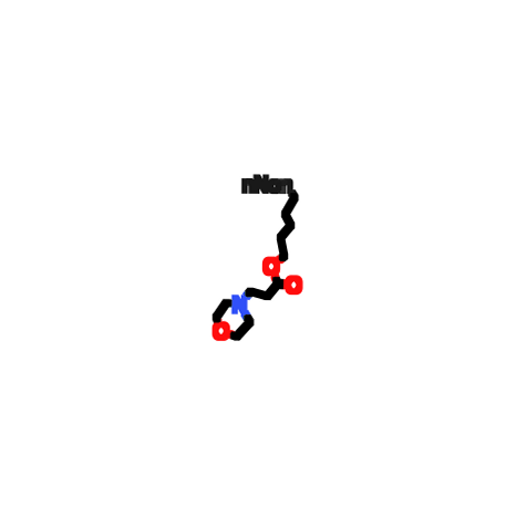 CCCCCCCCCCCCCCOC(=O)CCN1CCOCC1